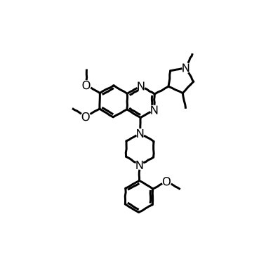 COc1cc2nc(C3CN(C)CC3C)nc(N3CCN(c4ccccc4OC)CC3)c2cc1OC